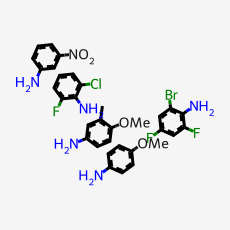 COc1ccc(N)cc1.COc1ccc(N)cc1C.Nc1c(F)cc(F)cc1Br.Nc1c(F)cccc1Cl.Nc1cccc([N+](=O)[O-])c1